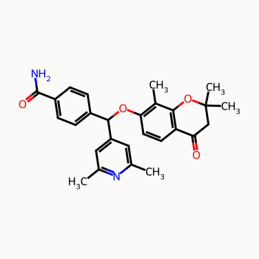 Cc1cc(C(Oc2ccc3c(c2C)OC(C)(C)CC3=O)c2ccc(C(N)=O)cc2)cc(C)n1